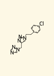 Clc1ccc(CCn2cc(Cn3cncn3)nn2)cc1